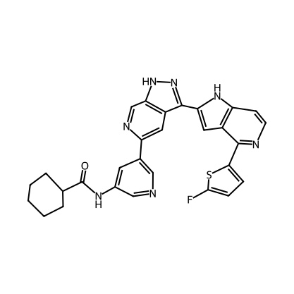 O=C(Nc1cncc(-c2cc3c(-c4cc5c(-c6ccc(F)s6)nccc5[nH]4)n[nH]c3cn2)c1)C1CCCCC1